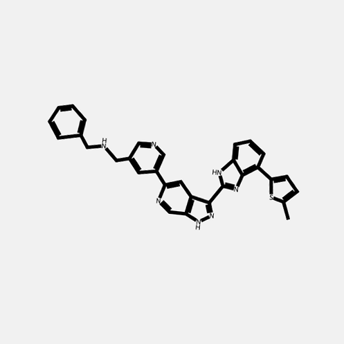 Cc1ccc(-c2cccc3[nH]c(-c4n[nH]c5cnc(-c6cncc(CNCc7ccccc7)c6)cc45)nc23)s1